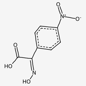 O=C(O)C(=NO)c1ccc([N+](=O)[O-])cc1